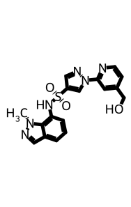 Cn1ncc2cccc(NS(=O)(=O)c3cnn(-c4cc(CO)ccn4)c3)c21